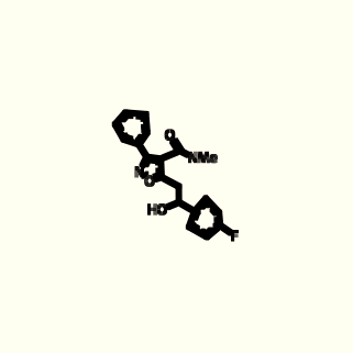 CNC(=O)c1c(-c2ccccc2)noc1CC(O)c1ccc(F)cc1